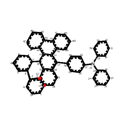 c1ccc(-c2ccccc2-c2c3ccccc3c(-c3ccc(N(c4ccccc4)c4ccccc4)cc3)c3c4ccccc4c4ccccc4c23)cc1